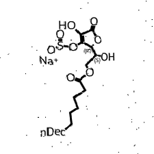 CCCCCCCCCCCCCCCC(=O)OC[C@H](O)[C@H]1OC(=O)C(O)=C1OS(=O)[O-].[Na+]